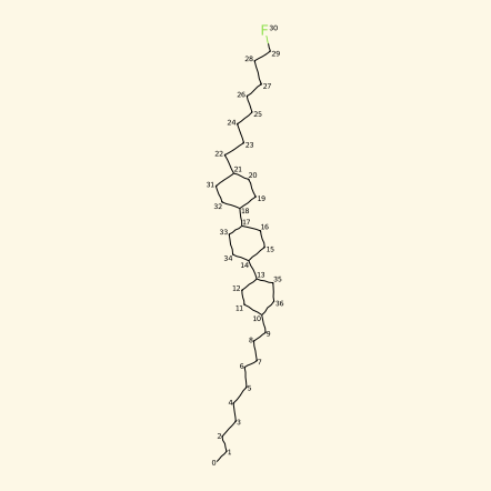 CCCCCCCCCCC1CCC(C2CCC(C3CCC(CCCCCCCCF)CC3)CC2)CC1